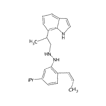 C/C=C\c1ccc(C(C)C)cc1NNCC(C)c1cccc2cc[nH]c12